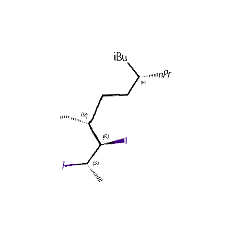 CCC[C@H](CC[C@@H](C)[C@@H](I)[C@H](C)I)C(C)CC